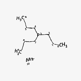 CCCP(CCC)CCC.[Mn]